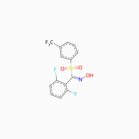 O=S(=O)(C(=NO)c1c(F)cccc1F)c1cccc(C(F)(F)F)c1